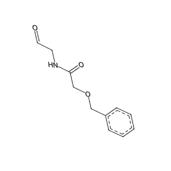 O=CCNC(=O)COCc1ccccc1